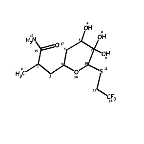 CC(CC1CC(O)C(O)(O)C(SCC(F)(F)F)O1)C(N)=O